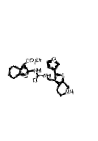 CCOC(=O)c1c(NC(=O)NCc2c(-c3ccoc3)sc3c2CCNC3)sc2c1CCCC2